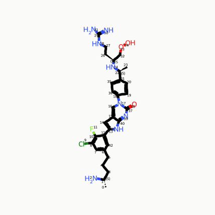 C[C@H](N)CCCc1cc(Cl)c(F)c(-c2cc3cn(-c4ccc([C@H](C)N[C@@H](CCNC(=N)N)COO)cc4)c(=O)nc3[nH]2)c1